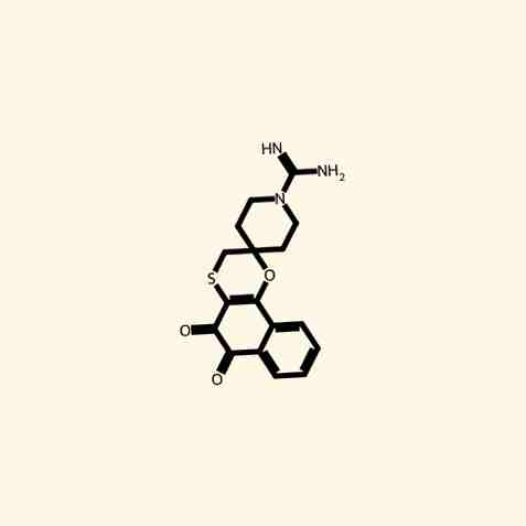 N=C(N)N1CCC2(CC1)CSC1=C(O2)c2ccccc2C(=O)C1=O